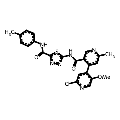 COc1cnc(Cl)cc1-c1cc(C)ncc1C(=O)Nc1nnc(C(=O)Nc2ccc(C)cc2)s1